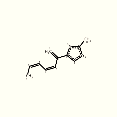 C=C(/C=C\C=C/C)c1coc(C)n1